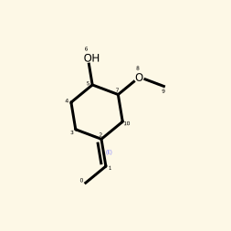 C/C=C1\CCC(O)C(OC)C1